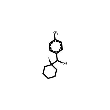 OC(c1ccc(C(F)(F)F)cc1)C1(F)CCCCC1